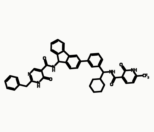 O=C(NC(c1cccc(-c2ccc3c(c2)-c2ccccc2C3NC(=O)c2cnc(Cc3ccccc3)[nH]c2=O)c1)C1CCCCC1)c1ccc(C(F)(F)F)[nH]c1=O